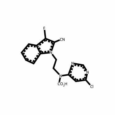 N#Cc1c(F)c2ccccc2n1CCN(C(=O)O)c1cc(Cl)ncn1